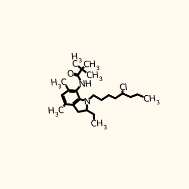 CCCC(Cl)CCCCN1c2c(c(C)cc(C)c2NC(=O)C(C)(C)C)CC1CC